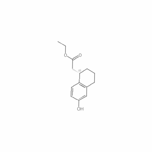 CCOC(=O)C[C@@H]1CCCc2cc(O)ccc21